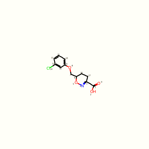 O=C(O)C1=NOC(COc2cccc(Cl)c2)CC1